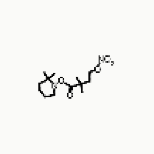 CC(C)(CCO[N+](=O)[O-])C(=O)ON1CCCCC1(C)C